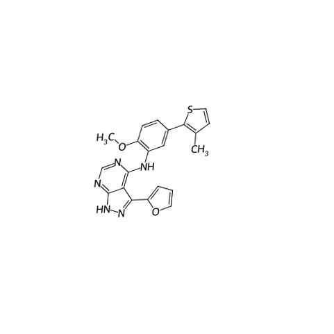 COc1ccc(-c2sccc2C)cc1Nc1ncnc2[nH]nc(-c3ccco3)c12